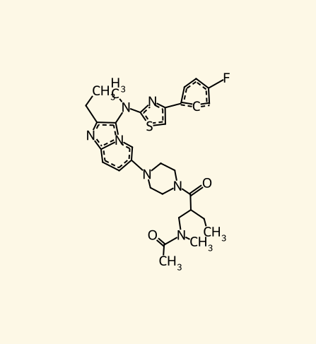 CCc1nc2ccc(N3CCN(C(=O)C(CC)CN(C)C(C)=O)CC3)cn2c1N(C)c1nc(-c2ccc(F)cc2)cs1